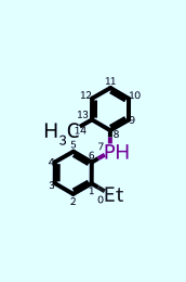 CCc1ccccc1Pc1ccccc1C